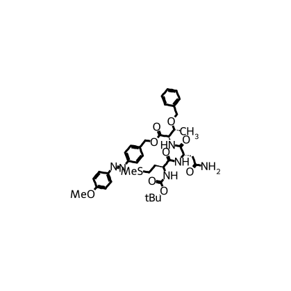 COc1ccc(N=Nc2ccc(COC(=O)[C@@H](NC(=O)[C@H](CC(N)=O)NC(=O)[C@H](CCSC)NC(=O)OC(C)(C)C)[C@@H](C)OCc3ccccc3)cc2)cc1